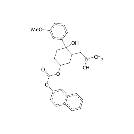 COc1cccc(C2(O)CCC(OC(=O)Oc3ccc4ccccc4c3)CC2CN(C)C)c1